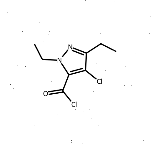 CCc1nn(CC)c(C(=O)Cl)c1Cl